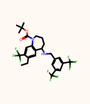 CCc1cc2c(cc1C(F)(F)F)N(C(=O)OC(C)(C)C)CCCC2NCc1cc(C(F)(F)F)cc(C(F)(F)F)c1